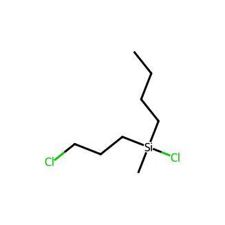 CCCC[Si](C)(Cl)CCCCl